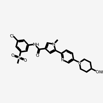 COC1CCN(c2ccc(-c3cc(C(=O)Nc4cc(Cl)cc(S(C)(=O)=O)c4)cn3C)nc2)CC1